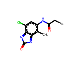 CC(=O)CC(=O)Nc1cc(Cl)c2c(c1C)=NC(=O)N=2